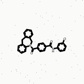 O=C(Nc1cccc(Cl)c1)c1ccc(C(=O)N2Cc3ccccc3Cc3ccccc32)cc1